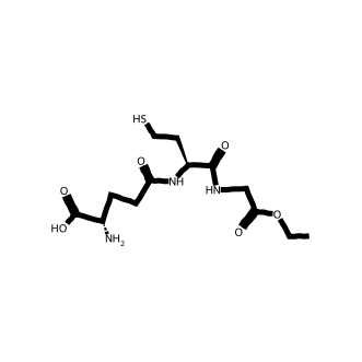 CCOC(=O)CNC(=O)[C@H](CCS)NC(=O)CC[C@H](N)C(=O)O